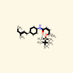 CC/C(C)=C/C[C@H]1CC[C@@H](NC(=O)/C=C\[C@H](C)O[Si](C)(C)C(C)(C)C)CC1